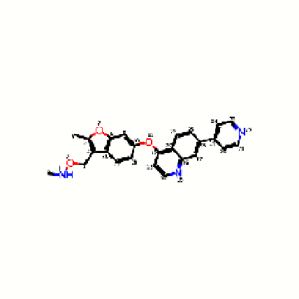 CNOCc1c(C)oc2cc(Oc3ccnc4cc(-c5ccncc5)ccc34)ccc12